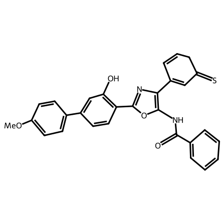 COc1ccc(-c2ccc(-c3nc(C4=CC(=S)CC=C4)c(NC(=O)c4ccccc4)o3)c(O)c2)cc1